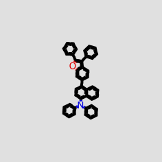 c1ccc(-c2oc3cc(-c4ccc(N(c5ccccc5)c5ccccc5)c5ccccc45)ccc3c2-c2ccccc2)cc1